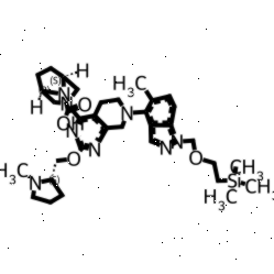 Cc1ccc2c(cnn2COCC[Si](C)(C)C)c1N1CCc2c(nc(OC[C@@H]3CCCN3C)nc2N2C[C@H]3CC[C@@H](C2)N3C(=O)O)C1